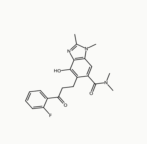 Cc1nc2c(O)c(CCC(=O)c3ccccc3F)c(C(=O)N(C)C)cc2n1C